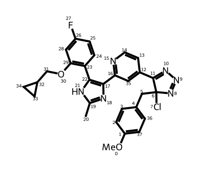 COc1ccc(CC2(Cl)N=NN=C2c2ccnc(-c3nc(C)[nH]c3-c3ccc(F)cc3OCC3CC3)c2)cc1